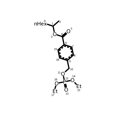 CCCCCCC(C)OC(=O)c1ccc(COP(=O)(OCC)OCC)cc1